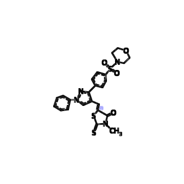 CN1C(=O)/C(=C/c2cn(-c3ccccc3)nc2-c2ccc(S(=O)(=O)N3CCOCC3)cc2)SC1=S